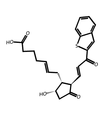 O=C(O)CCCC=CC[C@H]1[C@@H](O)CC(=O)[C@@H]1C=CC(=O)c1cc2ccccc2s1